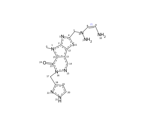 Cn1c2nc(CN(N)/C=C\N)sc2c2cnn(Cc3cc[nH]n3)c(=O)c21